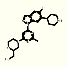 Cc1nc(N2CCOC(CO)C2)cc(-n2ncc3cc(Cl)c(C4CCNCC4)cc32)n1